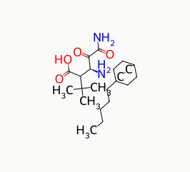 CC(C)(C)C(C(=O)O)[C@H](N)C(=O)C(N)=O.CCCCCC12CCC(CC1)CC2